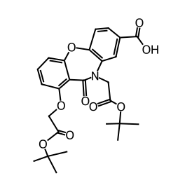 CC(C)(C)OC(=O)COc1cccc2c1C(=O)N(CC(=O)OC(C)(C)C)c1cc(C(=O)O)ccc1O2